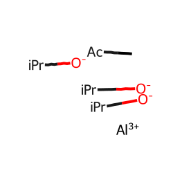 CC(C)=O.CC(C)[O-].CC(C)[O-].CC(C)[O-].[Al+3]